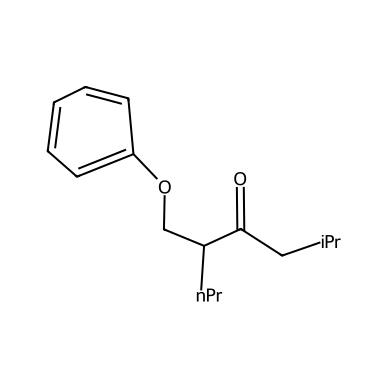 CCCC(COc1ccccc1)C(=O)CC(C)C